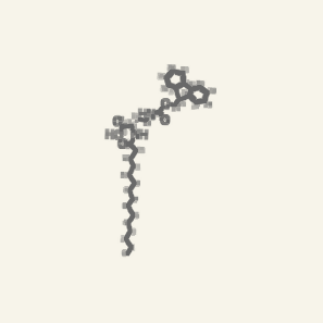 CCCCCCCCCCCCCCC(=O)N[C@@H](CCNC(=O)OCC1c2ccccc2-c2ccccc21)C(=O)O